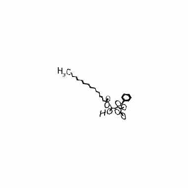 CCCCCCCCCCCCCCCC(=O)OCC(O)C1OC(=O)C2=C1OC(c1ccccc1)O2